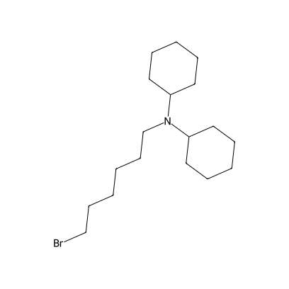 BrCCCCCCN(C1CCCCC1)C1CCCCC1